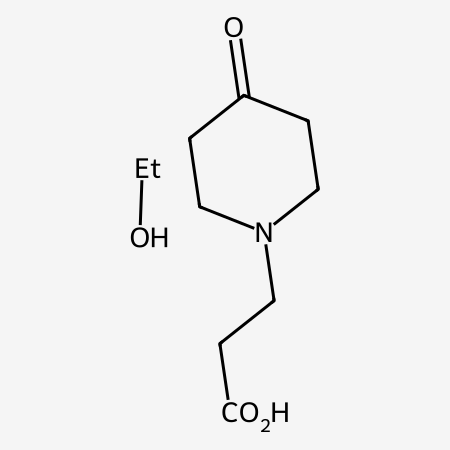 CCO.O=C(O)CCN1CCC(=O)CC1